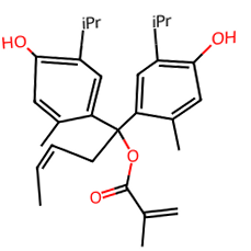 C=C(C)C(=O)OC(C/C=C\C)(c1cc(C(C)C)c(O)cc1C)c1cc(C(C)C)c(O)cc1C